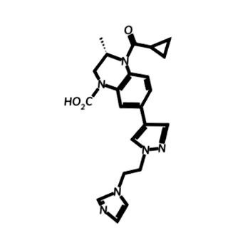 C[C@H]1CN(C(=O)O)c2cc(-c3cnn(CCn4ccnc4)c3)ccc2N1C(=O)C1CC1